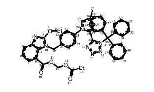 CCOc1nc2cccc(C(=O)OCOC(=O)CC)c2n1Cc1ccc(-n2cc(C)cc2-c2nnnn2C(c2ccccc2)(c2ccccc2)c2ccccc2)cc1